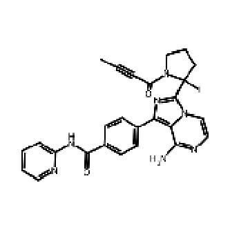 CC#CC(=O)N1CCCC1(I)c1nc(-c2ccc(C(=O)Nc3ccccn3)cc2)c2c(N)nccn12